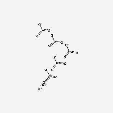 [Bi+3].[O]=[V](=[O])[O-].[O]=[V](=[O])[O-].[O]=[V](=[O])[O-].[O]=[V](=[O])[O-].[O]=[V](=[O])[O-].[Pb+2]